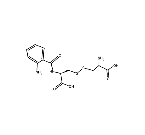 Nc1ccccc1C(=O)N[C@@H](CSSC[C@H](N)C(=O)O)C(=O)O